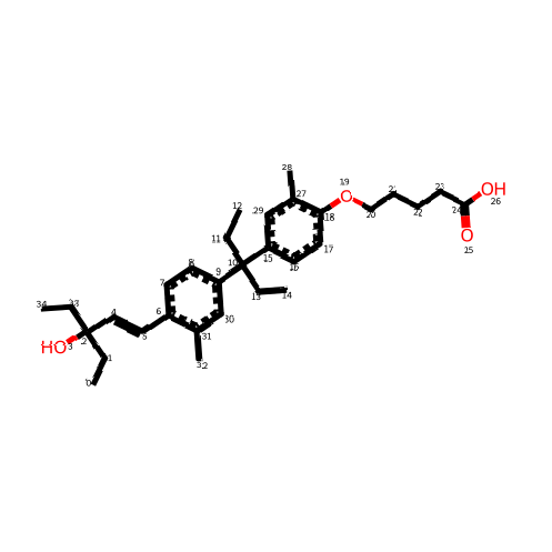 CCC(O)(C=Cc1ccc(C(CC)(CC)c2ccc(OCCCCC(=O)O)c(C)c2)cc1C)CC